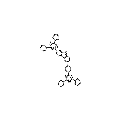 c1ccc(-c2nc(-c3ccccc3)nc(-c3ccc(-c4ccc5sc6cc(-c7nc(-c8ccccc8)nc(-c8ccccc8)n7)ccc6c5c4)cc3)n2)cc1